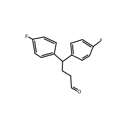 O=CCCC(c1ccc(F)cc1)c1ccc(F)cc1